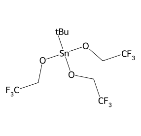 C[C](C)(C)[Sn]([O]CC(F)(F)F)([O]CC(F)(F)F)[O]CC(F)(F)F